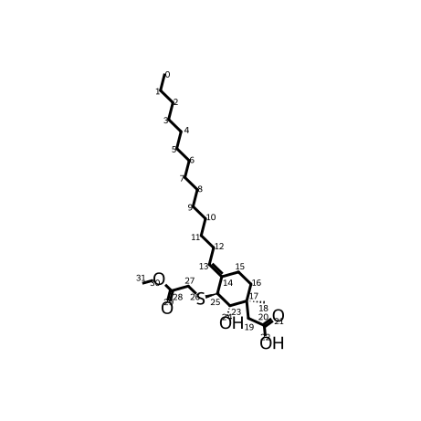 CCCCCCCCCCCCCC=C1CC[C@@](C)(CC(=O)O)[C@H](O)[C@H]1SCC(=O)OC